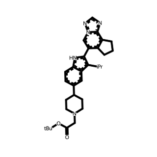 CC(C)c1c(-c2cn3ncnc3c3c2CCC3)[nH]c2ccc(C3CCN(CC(=O)OC(C)(C)C)CC3)cc12